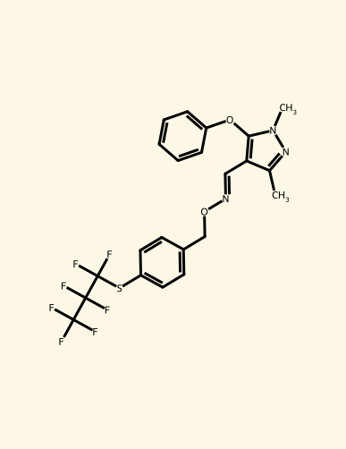 Cc1nn(C)c(Oc2ccccc2)c1C=NOCc1ccc(SC(F)(F)C(F)(F)C(F)(F)F)cc1